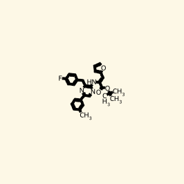 Cc1cccc(-c2cnc(N/C(=C\c3ccco3)C(=O)OC(C)(C)C)c(Cc3ccc(F)cc3)n2)c1